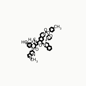 Cc1ccc(OC(=O)N2CCc3cc(-c4cc(C(=O)N(c5ccc(O)cc5)c5cnc6c(ccn6C)c5)c(C)n4C)c(C(=O)N4Cc5ccccc5C[C@H]4CN4CCOCC4)cc3C2)cc1